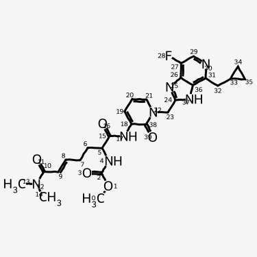 COC(=O)NC(CCC=CC(=O)N(C)C)C(=O)Nc1cccn(Cc2nc3c(F)cnc(CC4CC4)c3[nH]2)c1=O